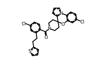 O=C(c1ccc(Cl)cc1CCc1cccs1)N1CCC2(CC1)Oc1cc(Cl)ccc1-n1cccc12